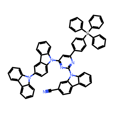 N#Cc1ccc2c3ccccc3n(-c3nc(-c4ccc([Si](c5ccccc5)(c5ccccc5)c5ccccc5)cc4)cc(-n4c5ccccc5c5cc(-n6c7ccccc7c7ccccc76)ccc54)n3)c2c1